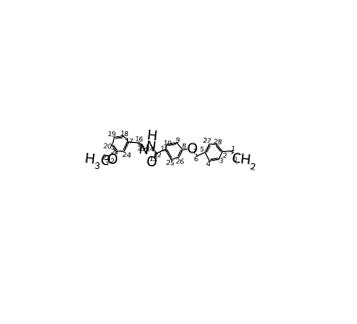 C=Cc1ccc(COc2ccc(C(=O)N/N=C/c3cccc(OC)c3)cc2)cc1